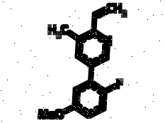 C=Cc1ncc(-c2cc(OC)ccc2F)cc1C